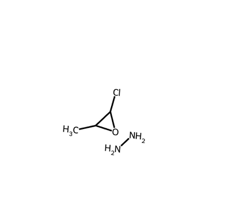 CC1OC1Cl.NN